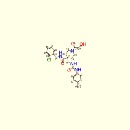 CCc1ccc(NC(=O)NCC2(C(=O)NCc3ccccc3Cl)CCN(C(=O)CO)CC2)cc1